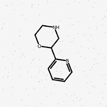 b1ccccc1C1CNCCO1